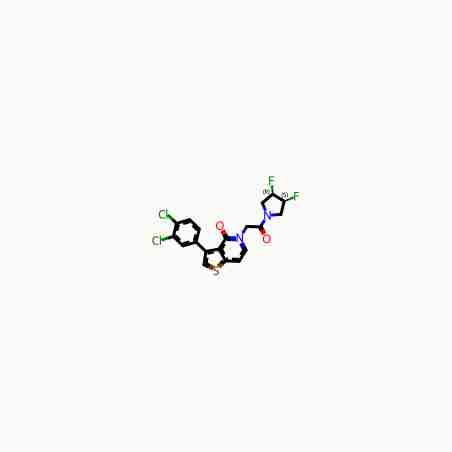 O=C(Cn1ccc2scc(-c3ccc(Cl)c(Cl)c3)c2c1=O)N1C[C@@H](F)[C@@H](F)C1